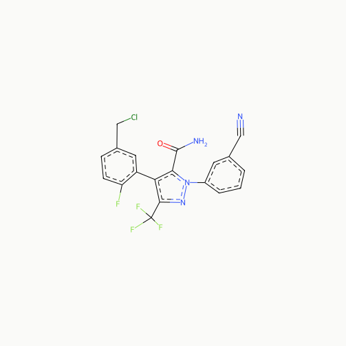 N#Cc1cccc(-n2nc(C(F)(F)F)c(-c3cc(CCl)ccc3F)c2C(N)=O)c1